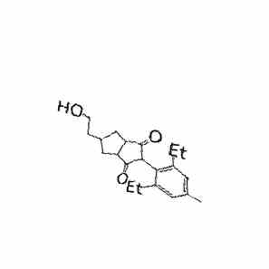 CCc1cc(C)cc(CC)c1C1C(=O)C2CC(CCO)CC2C1=O